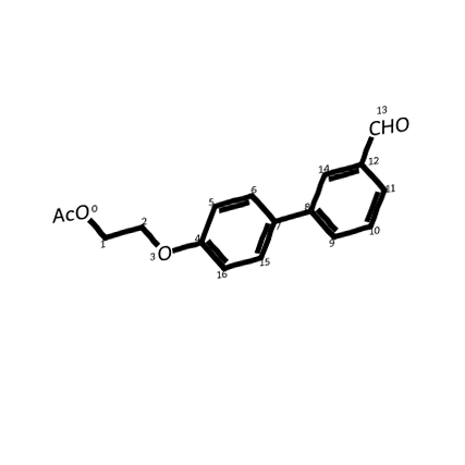 CC(=O)OCCOc1ccc(-c2cccc(C=O)c2)cc1